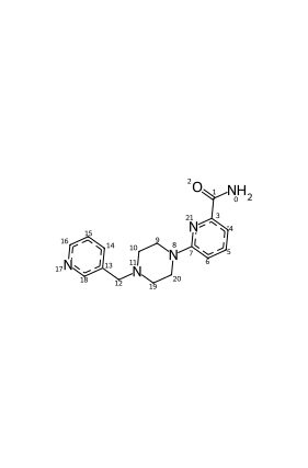 NC(=O)c1[c]ccc(N2CCN(Cc3cccnc3)CC2)n1